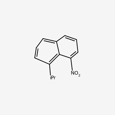 CC(C)c1cccc2cccc([N+](=O)[O-])c12